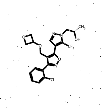 C[C@H](O)Cn1ncc(-c2onc(-c3ccccc3Cl)c2COC2COC2)c1C(F)(F)F